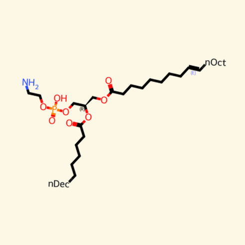 CCCCCCCC/C=C/CCCCCCCC(=O)OC[C@H](COP(=O)(O)OCCN)OC(=O)CCCCCCCCCCCCCCC